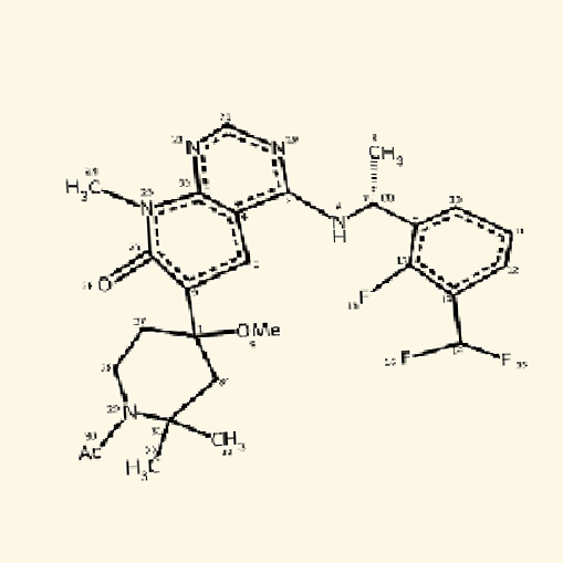 COC1(c2cc3c(N[C@H](C)c4cccc(C(F)F)c4F)ncnc3n(C)c2=O)CCN(C(C)=O)C(C)(C)C1